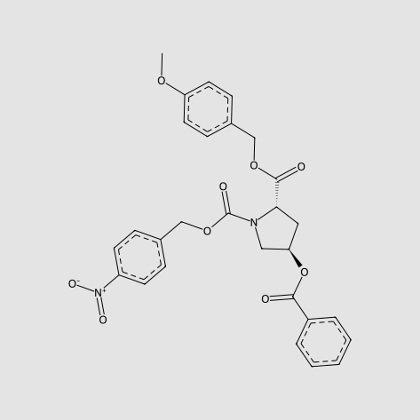 COc1ccc(COC(=O)[C@@H]2C[C@@H](OC(=O)c3ccccc3)CN2C(=O)OCc2ccc([N+](=O)[O-])cc2)cc1